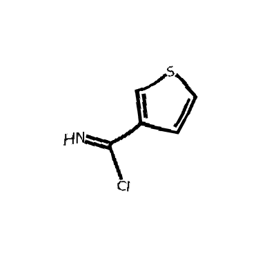 N=C(Cl)c1ccsc1